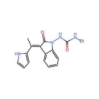 CCNC(=O)NN1C(=O)C(=C(C)c2ccc[nH]2)c2ccccc21